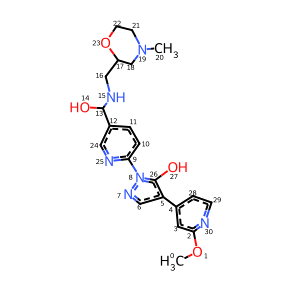 COc1cc(-c2cnn(-c3ccc(C(O)NCC4CN(C)CCO4)cn3)c2O)ccn1